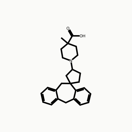 CC1(C(=O)O)CCN(C2CCC3(Cc4ccccc4Cc4ccccc43)C2)CC1